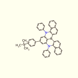 C[Si](C)(C)c1ccc(-c2cc3c4c(c2)N(c2ccccc2)c2c(ccc5ccccc25)B4c2ccc4ccccc4c2N3c2ccccc2)cc1